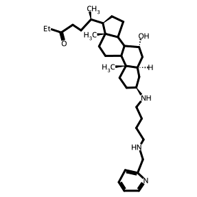 CCC(=O)CC[C@@H](C)[C@H]1CCC2C3C(CC[C@@]21C)[C@@]1(C)CC[C@H](NCCCCNCc2ccccn2)C[C@@H]1C[C@H]3O